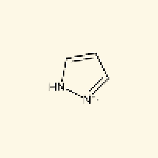 C1=CN[N+]=C1